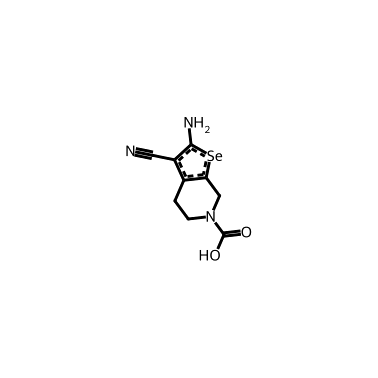 N#Cc1c(N)[se]c2c1CCN(C(=O)O)C2